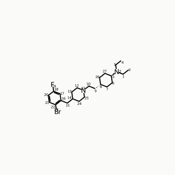 CCN(CC)[C@H]1CC[C@H](CCN2CCC(Cc3cc(F)ccc3Br)CC2)CC1